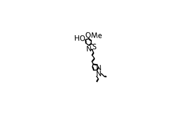 C=CCN(CC=C)c1ccc(/C=C/C=C/c2nc3cc(O)c(OC)cc3s2)cn1